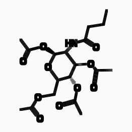 CCCC(=O)NC1C(OC(C)=O)[C@H](OC(C)=O)C(COC(C)=O)O[C@H]1OC(C)=O